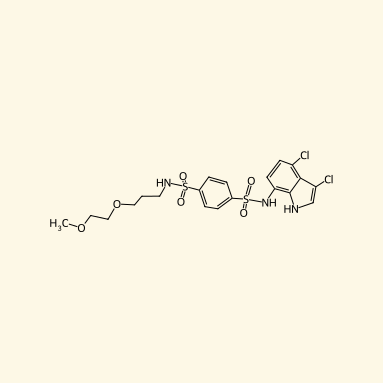 COCCOCCCNS(=O)(=O)c1ccc(S(=O)(=O)Nc2ccc(Cl)c3c(Cl)c[nH]c23)cc1